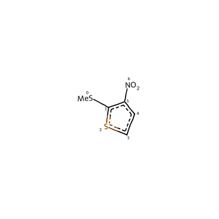 CSc1sccc1[N+](=O)[O-]